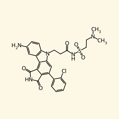 CN(C)CCS(=O)(=O)NC(=O)CCn1c2ccc(N)cc2c2c3c(c(-c4ccccc4Cl)cc21)C(=O)NC3=O